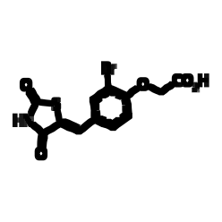 O=C(O)COc1ccc(/C=C2\SC(=O)NC2=O)cc1Br